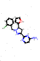 Nc1ccnc(C2=NN(Cc3ccccc3F)C(c3ccco3)C2)n1